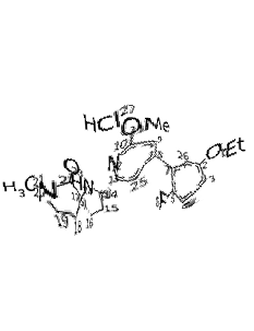 CCOc1ccc(F)c(-c2cc(OC)nc([C@@H]3CC[C@@]4(CCN(C)C4=O)N3)c2)c1.Cl